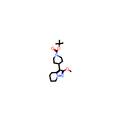 COc1nn2c(c1C1CCN(C(=O)OC(C)(C)C)CC1)CCCC2